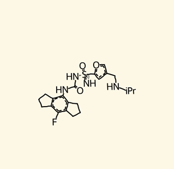 CC(C)NCc1coc([S@@](=N)(=O)NC(=O)Nc2c3c(c(F)c4c2CCC4)CCC3)c1